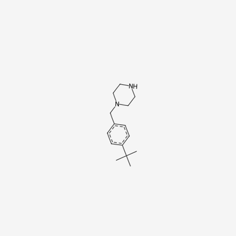 CC(C)(C)c1ccc(CN2CCNCC2)cc1